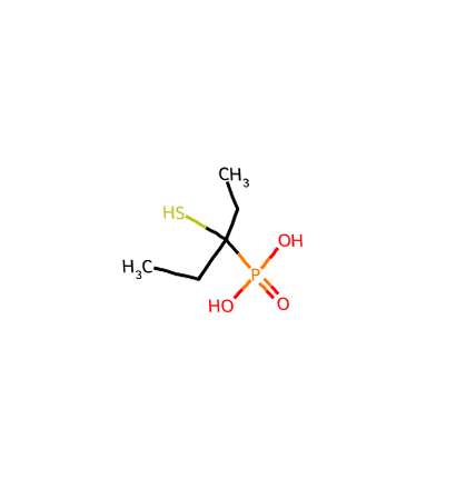 CCC(S)(CC)P(=O)(O)O